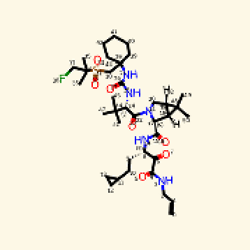 C=CCNC(=O)C(=O)[C@H](CCC1CC1)NC(=O)[C@@H]1[C@@H]2[C@H](CN1C(=O)[C@@H](NC(=O)NC1(CS(=O)(=O)C(C)(C)CF)CCCCC1)C(C)(C)C)C2(C)C